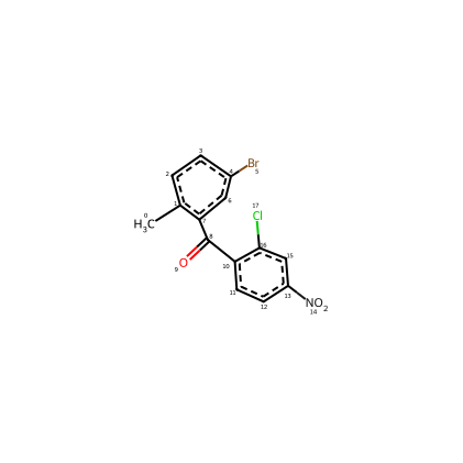 Cc1ccc(Br)cc1C(=O)c1ccc([N+](=O)[O-])cc1Cl